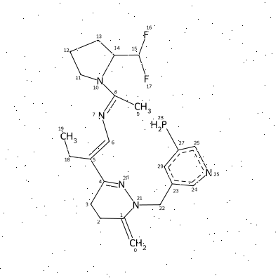 C=C1CCC(/C(=C/N=C(\C)N2CCCC2C(F)F)CC)=NN1Cc1cncc(P)c1